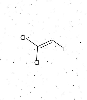 F[C]=C(Cl)Cl